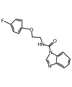 O=C(NCCOc1ccc(F)cc1)n1cnc2ccccc21